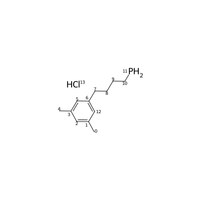 Cc1cc(C)cc(CCCCP)c1.Cl